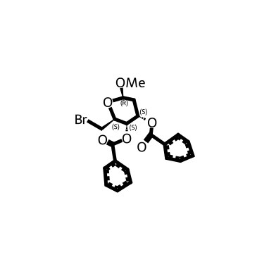 CO[C@H]1C[C@H](OC(=O)c2ccccc2)[C@H](OC(=O)c2ccccc2)[C@@H](CBr)O1